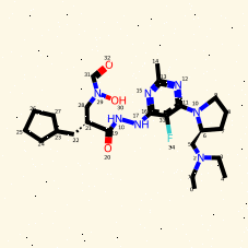 CCN(CC)C[C@@H]1CCCN1c1nc(C)nc(NNC(=O)[C@H](CC2CCCC2)CN(O)C=O)c1F